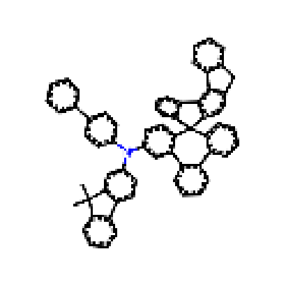 CC1(C)c2ccccc2-c2ccc(N(c3ccc(-c4ccccc4)cc3)c3ccc4c(c3)-c3ccccc3-c3ccccc3C43c4ccccc4-c4c3ccc3c4-c4ccccc4C3)cc21